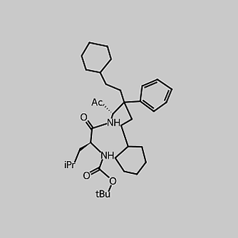 [CH2]C(=O)[C@@H](NC(=O)[C@H](CC(C)C)NC(=O)OC(C)(C)C)C(CCC1CCCCC1)(CCC1CCCCC1)c1ccccc1